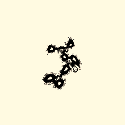 O=c1c2ccccc2c2cc(-c3nc(-c4ccccc4)cc(-c4ccccc4)n3)ccc2n1-c1ccc(-n2c3ccccc3c3ccccc32)cc1